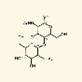 CC(=O)NC1C(O)[C@H](O)C(CO)O[C@H]1O[C@@H]1C(CO)O[C@@H](O)C(NC(C)=O)C1O